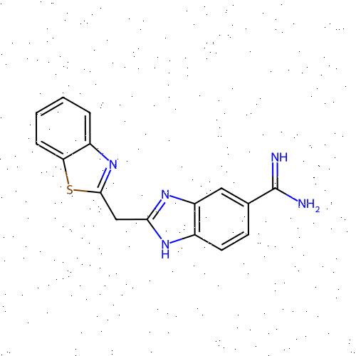 N=C(N)c1ccc2[nH]c(Cc3nc4ccccc4s3)nc2c1